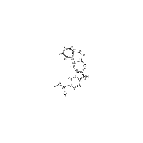 COC(=O)c1ccc2[nH]cc(C=C3C(=O)CCc4ccccc43)c2c1